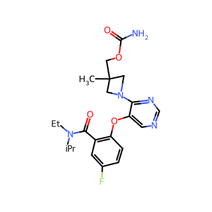 CCN(C(=O)c1cc(F)ccc1Oc1cncnc1N1CC(C)(COC(N)=O)C1)C(C)C